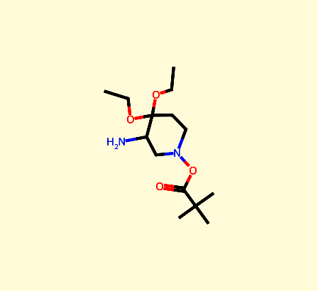 CCOC1(OCC)CCN(OC(=O)C(C)(C)C)CC1N